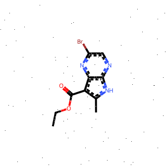 CCOC(=O)c1c(C)[nH]c2ncc(Br)nc12